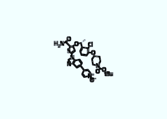 C[C@@H](Oc1cc(-n2cnc3cc(-c4cc[n+]([O-])cc4)ccc32)sc1C(N)=O)c1cccc(OC2CCN(C(=O)OC(C)(C)C)CC2)c1Cl